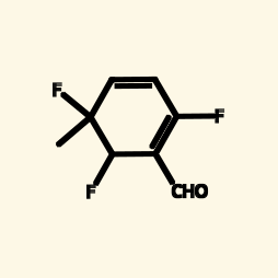 CC1(F)C=CC(F)=C(C=O)C1F